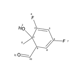 CC1(O)C(F)=CC(F)=CC1C=O